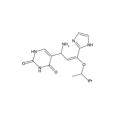 CC(C)C(C)O/C(=C/C(N)c1c[nH]c(=O)[nH]c1=O)c1ncc[nH]1